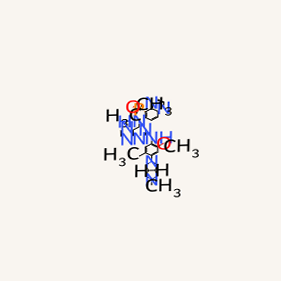 CCc1cc(Nc2nc(Nc3ccc4nccnc4c3P(C)(C)=O)c3nccnc3n2)c(OC)cc1N1C[C@H]2CN(C)C[C@H]2C1